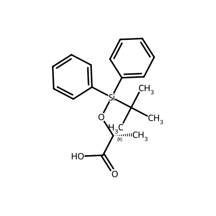 C[C@@H](O[Si](c1ccccc1)(c1ccccc1)C(C)(C)C)C(=O)O